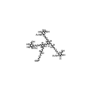 CC(=O)NC1C(OCCOCCNC(=O)CCC(NC(=O)CCC(NC(=O)CCCC(=O)NCCOCCOC(C)(C)C)C(=O)NCCOCCOC2OC(CO)C(O)[C@@H](O)C2NC(C)=O)C(=O)NCCOCCOC2OC(CO)C(O)C(O)C2NC(C)=O)OC(CO)C(O)C1O